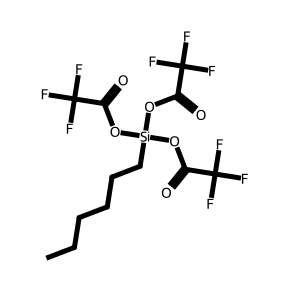 CCCCCC[Si](OC(=O)C(F)(F)F)(OC(=O)C(F)(F)F)OC(=O)C(F)(F)F